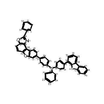 c1ccc(-c2nc3c(ccc4oc5cc(-c6ccc(N(c7ccccc7)c7ccc(-c8cccc9c8sc8ccccc89)cc7)cc6)ccc5c43)o2)cc1